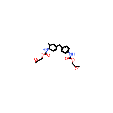 CC1C=C(Cc2ccc(NC(=O)OCC3CO3)cc2)C=CC1NC(=O)OCC1CO1